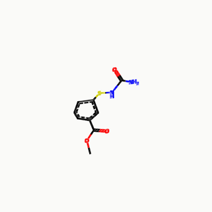 COC(=O)c1cccc(SNC(N)=O)c1